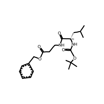 CC(C)C[C@H](NC(=O)OC(C)(C)C)C(=O)NCCC(=O)OCc1ccccc1